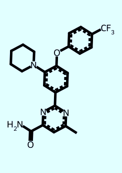 Cc1cc(C(N)=O)nc(-c2ccc(Oc3ccc(C(F)(F)F)cc3)c(N3CCCCC3)c2)n1